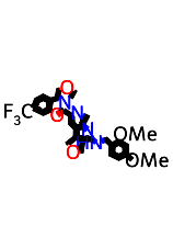 COc1ccc(CNc2nc3cnc(C(=O)N4CCOCC4c4ccc(C(F)(F)F)cc4)cc3c3c2COC3)c(OC)c1